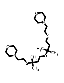 CC(C)(CCSCCN1CCOCC1)OCCC(C)(C)SCCN1CCOCC1